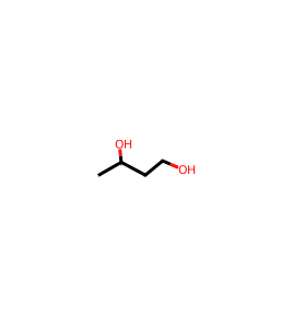 C[C](O)CCO